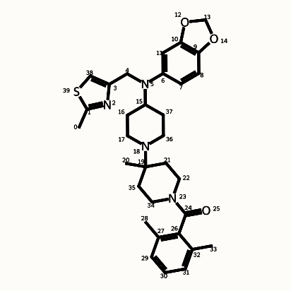 Cc1nc(CN(c2ccc3c(c2)OCO3)C2CCN(C3(C)CCN(C(=O)c4c(C)cccc4C)CC3)CC2)cs1